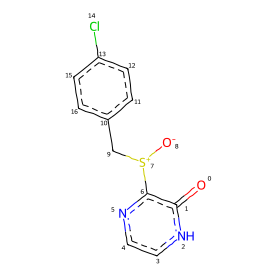 O=c1[nH]ccnc1[S+]([O-])Cc1ccc(Cl)cc1